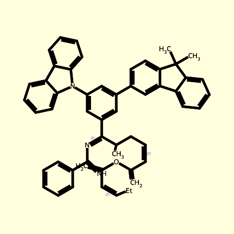 C=C(/C=C\CC)OC(=C)/C=C\CC(C)/C(=N\C(=N)c1ccccc1)c1cc(-c2ccc3c(c2)-c2ccccc2C3(C)C)cc(-n2c3ccccc3c3ccccc32)c1